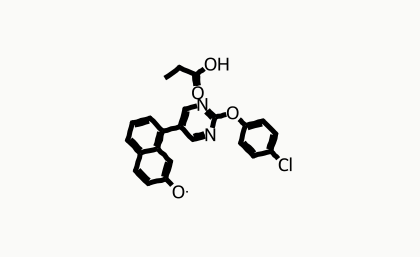 CCC(=O)O.[O]c1ccc2cccc(-c3cnc(Oc4ccc(Cl)cc4)nc3)c2c1